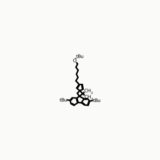 CC(C)(C)OCCCCCCC1=CC2(C=C1)CC1(c3cc(C(C)(C)C)ccc3-c3ccc(C(C)(C)C)cc31)C2(C)C